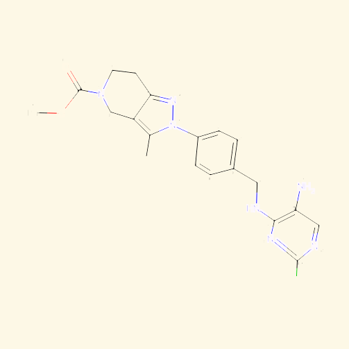 Cc1c2c(nn1-c1ccc(CNc3nc(Cl)ncc3N)cc1)CCN(C(=O)OC(C)(C)C)C2